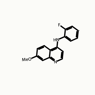 COc1ccc2c(Nc3cc[c]cc3F)ccnc2c1